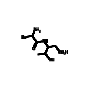 CCC(C)C(N)C(=O)NC(CC(=O)O)C(C)C(C)CC